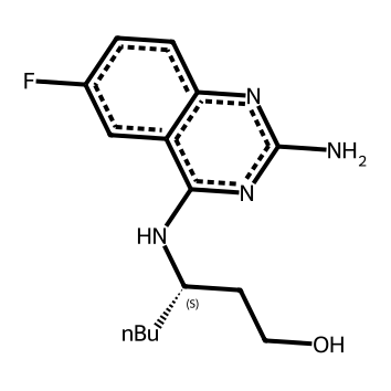 CCCC[C@@H](CCO)Nc1nc(N)nc2ccc(F)cc12